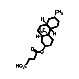 C[C@@H]1CC[C@H]2[C@@H](CC[C@@H]3C[C@H](OC(=O)CCC(=O)O)CC[C@@]32C)C1